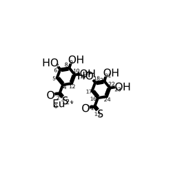 [Eu+2].[O-]C(=S)c1cc(O)c(O)c(O)c1.[O-]C(=S)c1cc(O)c(O)c(O)c1